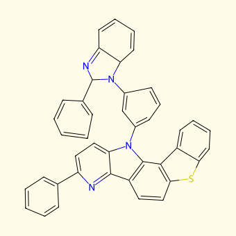 C1=CC2=NC(c3ccccc3)N(c3cccc(-n4c5ccc(-c6ccccc6)nc5c5ccc6sc7ccccc7c6c54)c3)C2C=C1